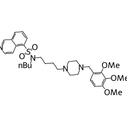 CCCCN(CCCCN1CCN(Cc2ccc(OC)c(OC)c2OC)CC1)S(=O)(=O)c1cccc2cnccc12